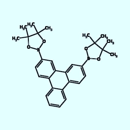 CC1(C)OB(c2ccc3c4ccccc4c4ccc(B5OC(C)(C)C(C)(C)O5)cc4c3c2)OC1(C)C